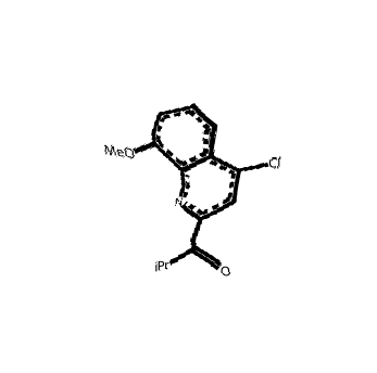 COc1cccc2c(Cl)cc(C(=O)C(C)C)nc12